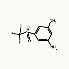 Nc1cc(N)cc(S(=O)(=O)C(F)(F)F)c1